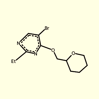 CCc1ncc(Br)c(OCC2CCCCO2)n1